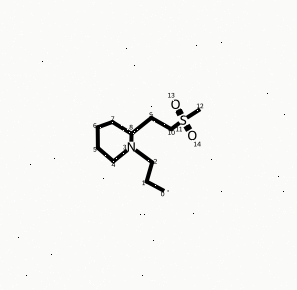 [CH2]CCN1CCCCC1CCS(C)(=O)=O